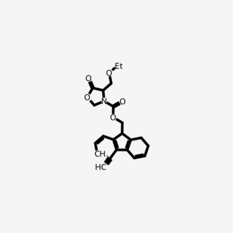 C#CC1=C(/C=C\C)C(COC(=O)N2COC(=O)C2COCC)C2=C1C=CCC2